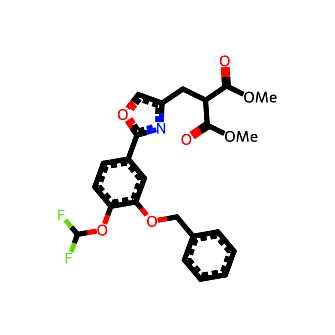 COC(=O)C(Cc1coc(-c2ccc(OC(F)F)c(OCc3ccccc3)c2)n1)C(=O)OC